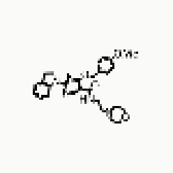 COc1ccc(COc2nc(N3CCc4ccccc43)ncc2C(=O)NCCN2CCOCC2)cc1